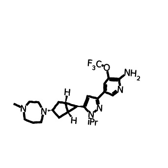 CC(C)n1nc(-c2cnc(N)c(OC(F)(F)F)c2)cc1[C@H]1[C@@H]2C[C@H](N3CCCN(C)CC3)C[C@@H]21